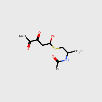 CCOC(=O)C(CSC(O)CC(=O)C(=O)OC)NC(=O)C(C)C